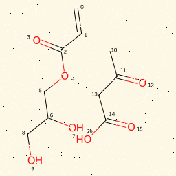 C=CC(=O)OCC(O)CO.CC(=O)CC(=O)O